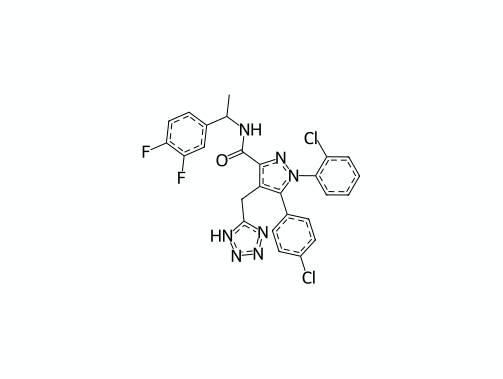 CC(NC(=O)c1nn(-c2ccccc2Cl)c(-c2ccc(Cl)cc2)c1Cc1nnn[nH]1)c1ccc(F)c(F)c1